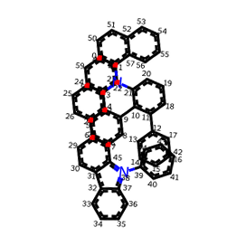 c1ccc(-c2ccccc2-c2c(-c3ccccc3)cccc2N(c2cccc(-c3ccc4c5ccccc5n(-c5ccccc5)c4c3)c2)c2cccc3ccccc23)cc1